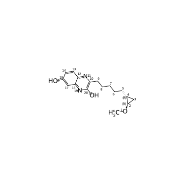 CO[C@@H]1C[C@H]1CCCCCc1nc2ccc(O)cc2nc1O